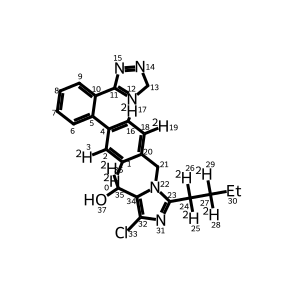 [2H]c1c([2H])c(-c2ccccc2C2=NCN=N2)c([2H])c([2H])c1Cn1c(C([2H])([2H])C([2H])([2H])CC)nc(Cl)c1C([2H])O